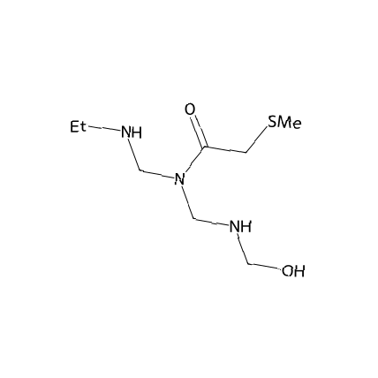 CCNCN(CNCO)C(=O)CSC